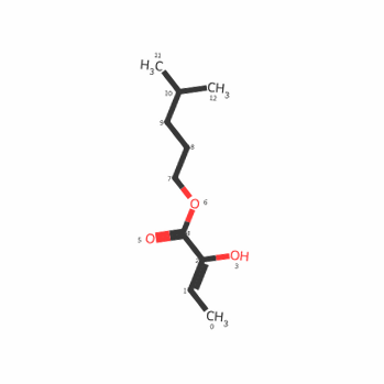 C/C=C(\O)C(=O)OCCCC(C)C